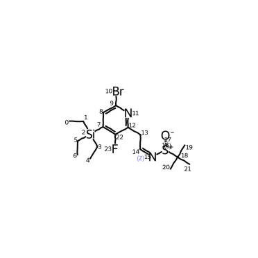 CC[Si](CC)(CC)c1cc(Br)nc(C/C=N\[S@+]([O-])C(C)(C)C)c1F